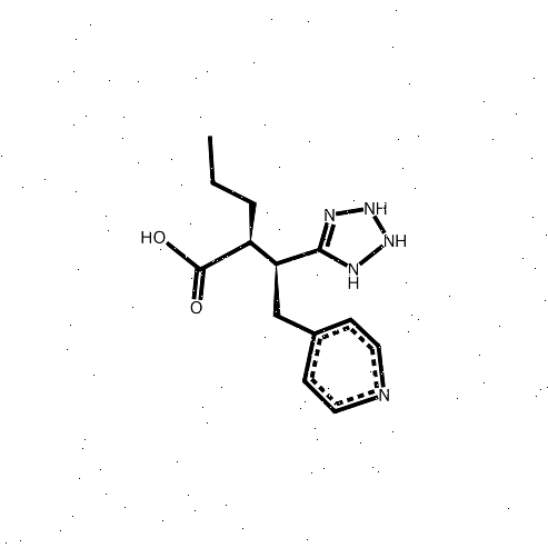 CCC[C@H](C(=O)O)[C@H](Cc1ccncc1)C1=NNNN1